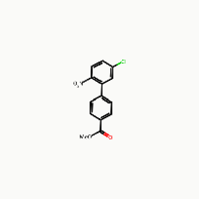 COC(=O)c1ccc(-c2cc(Cl)ccc2[N+](=O)[O-])cc1